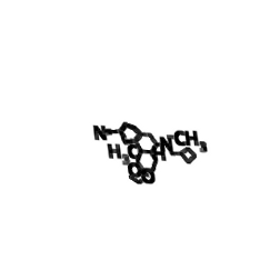 CCN(CC1CCC1)[C@@H]1Cc2ccc(C#N)cc2[C@@]2(C)CC3(CC[C@@H]12)OCCO3